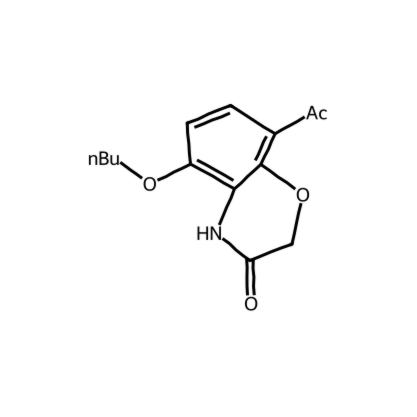 CCCCOc1ccc(C(C)=O)c2c1NC(=O)CO2